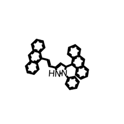 C(=Cc1c2ccccc2cc2ccccc12)C1=CC(c2c3ccccc3cc3ccccc23)N(c2ccccc2)N1